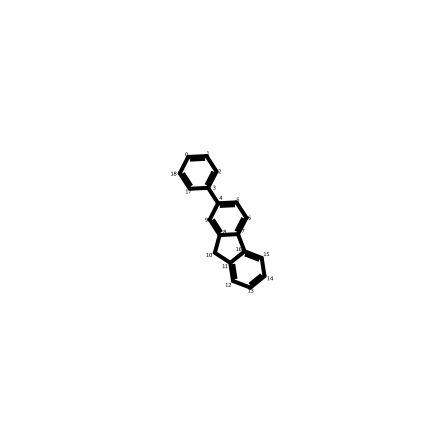 c1ccc(-c2ccc3c(c2)Cc2ccccc2-3)cc1